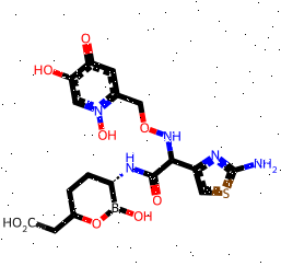 Nc1nc(C(NOCc2cc(=O)c(O)cn2O)C(=O)N[C@H]2CCC(CC(=O)O)OB2O)cs1